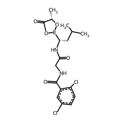 CC(C)C[C@H](NC(=O)CNC(=O)c1cc(Cl)ccc1Cl)B1OC(=O)[C@H](C)O1